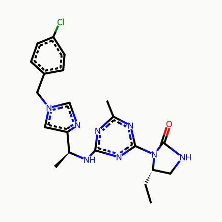 CC[C@H]1CNC(=O)N1c1nc(C)nc(N[C@@H](C)c2cn(Cc3ccc(Cl)cc3)cn2)n1